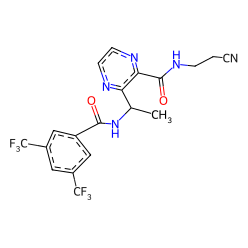 CC(NC(=O)c1cc(C(F)(F)F)cc(C(F)(F)F)c1)c1nccnc1C(=O)NCCC#N